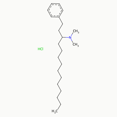 CCCCCCCCCCCC(CCc1ccccc1)N(C)C.Cl